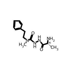 C[C@@H](N)C(=O)NNC(=O)N(C)CCc1ccccc1